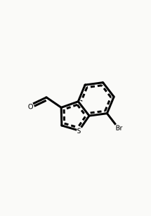 O=Cc1csc2c(Br)cccc12